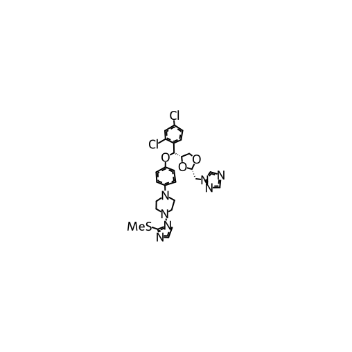 CSc1nccn1N1CCN(c2ccc(OC(c3ccc(Cl)cc3Cl)[C@@H]3CO[C@H](Cn4cncn4)O3)cc2)CC1